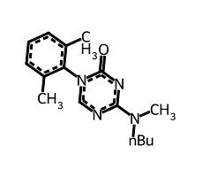 CCCCN(C)c1ncn(-c2c(C)cccc2C)c(=O)n1